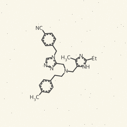 CCc1nc(C)c(CN(CCc2ccc(C)cc2)Cc2nncn2Cc2ccc(C#N)cc2)[nH]1